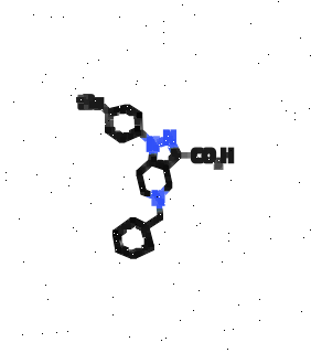 CC(C)(C)c1ccc(-n2nc(C(=O)O)c3c2CCN(Cc2ccccc2)C3)cc1